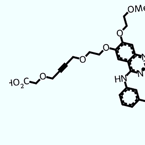 C#Cc1cccc(Nc2ncnc3cc(OCCOC)c(OCCOCC#CCOCC(=O)O)cc23)c1